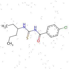 CCCC(CC)NC(=S)NC(=O)c1ccc(Cl)cc1